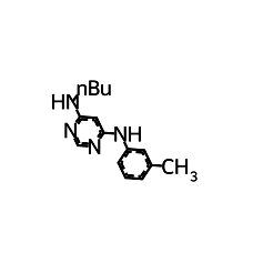 CCCCNc1cc(Nc2cccc(C)c2)ncn1